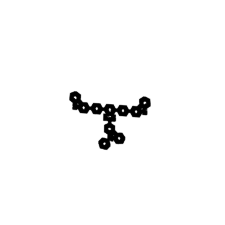 c1ccc(-n2c3ccccc3c3cc(-c4nc5c(-c6ccc(-c7ccc8sc9ccccc9c8c7)cc6)ccc(-c6ccc(-c7ccc8sc9ccccc9c8c7)cc6)c5s4)ccc32)cc1